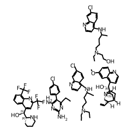 C=C[C@H]1C[N@]2CC[C@H]1C[C@H]2[C@H](O)c1ccnc2ccc(OC)cc12.CCN(CC)CCCC(C)Nc1ccnc2cc(Cl)ccc12.CCN(CCO)CCCC(C)Nc1ccnc2cc(Cl)ccc12.CCc1nc(N)nc(N)c1-c1ccc(Cl)cc1.O[C@@H](c1cc(C(F)(F)F)nc2c(C(F)(F)F)cccc12)[C@H]1CCCCN1